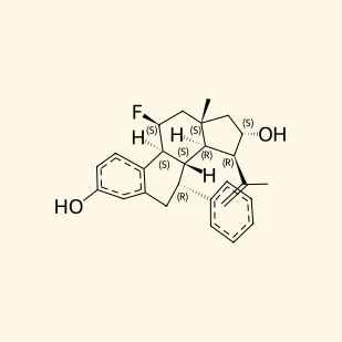 C=C(C)[C@H]1[C@H]2[C@H]3[C@@H](c4ccc(O)cc4C[C@H]3c3ccccc3)[C@@H](F)C[C@]2(C)C[C@@H]1O